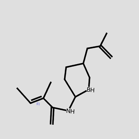 C=C(C)CC1CBC(NC(=C)/C(C)=C/C)CC1